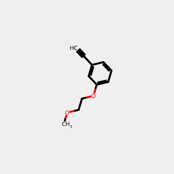 C#Cc1cccc(OCCOC)c1